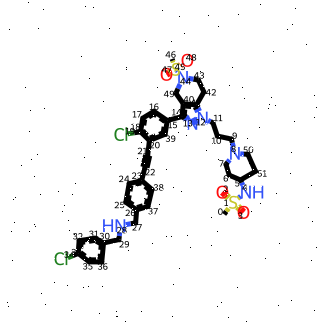 CS(=O)(=O)NC1CCN(CCCn2nc(-c3ccc(Cl)c(C#Cc4ccc(CNCc5ccc(Cl)cc5)cc4)c3)c3c2CCN(S(C)(=O)=O)C3)CC1